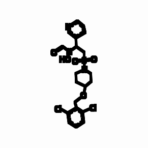 O=CN(O)C(CS(=O)(=O)N1CCC(OCc2c(Cl)cccc2Cl)CC1)c1cccnc1